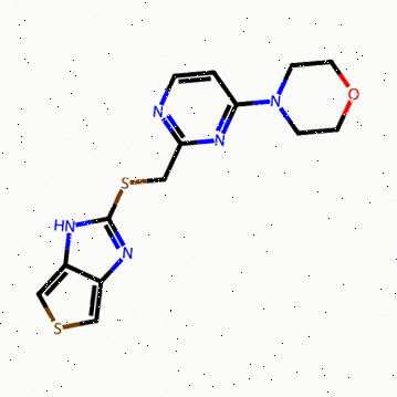 c1cc(N2CCOCC2)nc(CSc2nc3cscc3[nH]2)n1